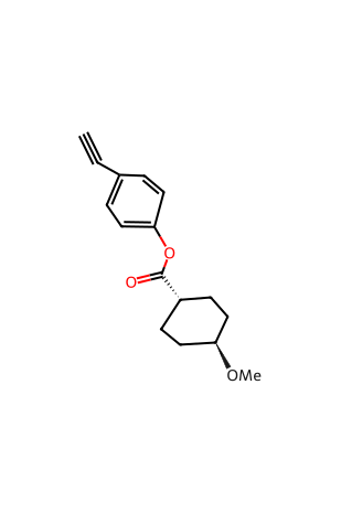 C#Cc1ccc(OC(=O)[C@H]2CC[C@H](OC)CC2)cc1